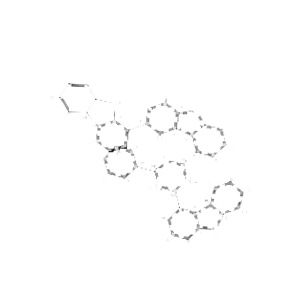 C1=CC2Sc3c(-c4ccc5oc6cccc(-c7nc(-c8ccccc8)nc(-c8cccc9oc%10ccccc%10c89)n7)c6c5c4)cccc3C2C=C1